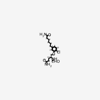 NC(=O)CCCCCc1ccc(Cl)c(OC[C@H](CCC(N)=O)NC=O)c1